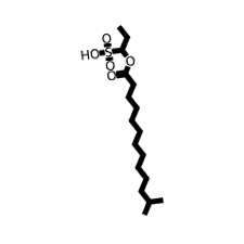 CCC(OC(=O)CCCCCCCCCCC(C)C)S(=O)(=O)O